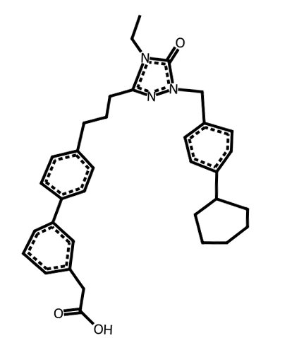 CCn1c(CCCc2ccc(-c3cccc(CC(=O)O)c3)cc2)nn(Cc2ccc(C3CCCCC3)cc2)c1=O